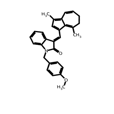 COc1ccc(CN2C(=O)/C(=C/C3=CC(C)=C4C=CCCC(C)=C34)c3ccccc32)cc1